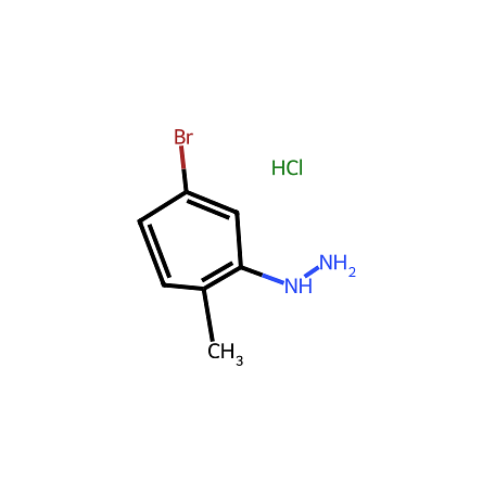 Cc1ccc(Br)cc1NN.Cl